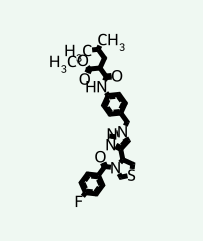 COC(=O)C(CC(C)C)C(=O)Nc1ccc(Cn2cc(C3CSCN3C(=O)c3ccc(F)cc3)nn2)cc1